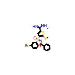 CSc1sc(C(=N)N)cc1S(=O)(=NC(=O)c1ccccc1)c1cccc(Br)c1